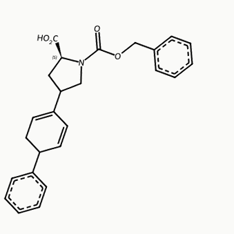 O=C(O)[C@@H]1CC(C2=CCC(c3ccccc3)C=C2)CN1C(=O)OCc1ccccc1